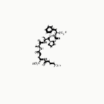 CCCCCCCCCCCCCC(=O)N[C@@H](CCC(=O)N[C@@H](C)C(=O)N[C@@H](C)C(=O)N1CCC[C@H]1C(=O)N[C@@H](Cc1ccccc1)C(=O)O)C(=O)O